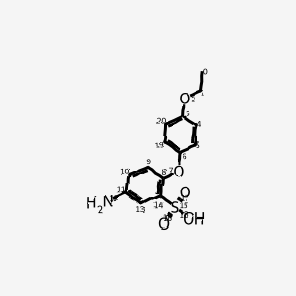 CCOc1ccc(Oc2ccc(N)cc2S(=O)(=O)O)cc1